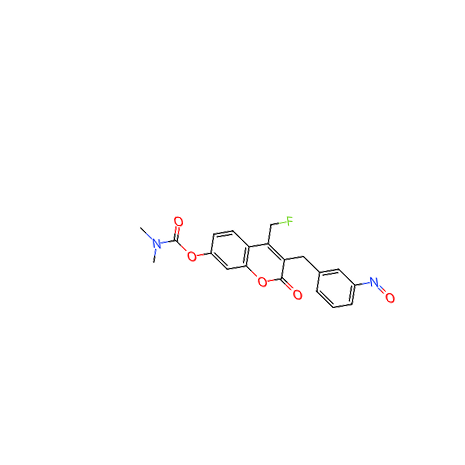 CN(C)C(=O)Oc1ccc2c(CF)c(Cc3cccc(N=O)c3)c(=O)oc2c1